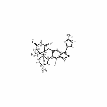 Cc1nc(-c2noc3c(F)c4c(cc23)CC2(C(=O)NC(=O)NC2=O)[C@@H]2[C@@H](C)O[C@@H](C)CN42)co1